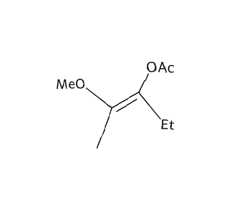 CCC(OC(C)=O)=C(C)OC